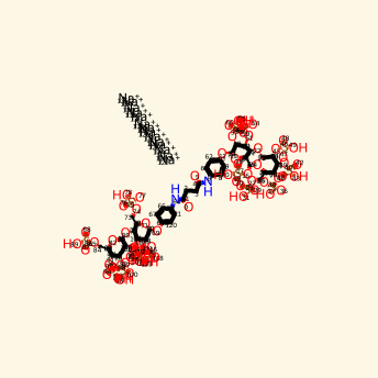 O=C(CCC(=O)Nc1ccc(O[C@@H]2O[C@H](COS(=O)(=O)O)[C@@H](O[C@H]3O[C@H](COS(=O)(=O)O)[C@@H](OS(=O)(=O)O)[C@H](OS(=O)(=O)O)[C@H]3OS(=O)(=O)O)[C@H](OS(=O)(=O)O)[C@H]2OS(=O)(=O)O)cc1)Nc1ccc(O[C@@H]2O[C@H](COS(=O)(=O)O)[C@@H](O[C@H]3O[C@H](COS(=O)(=O)O)[C@@H](OS(=O)(=O)O)[C@H](OS(=O)(=O)O)[C@H]3OS(=O)(=O)O)[C@H](OS(=O)(=O)O)[C@H]2OS(=O)(=O)O)cc1.[Na+].[Na+].[Na+].[Na+].[Na+].[Na+].[Na+].[Na+].[Na+].[Na+].[Na+].[Na+].[Na+].[Na+]